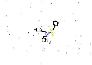 CCCN(CCC)C(=S)SCc1ccccc1